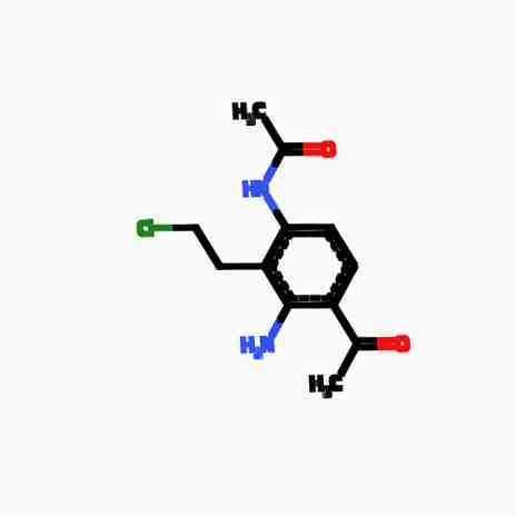 CC(=O)Nc1ccc(C(C)=O)c(N)c1CCCl